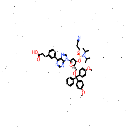 COc1ccc(C(OC[C@H]2O[C@@H](n3cnc4c(-c5cccc(CCC(=O)O)c5)ncnc43)C[C@@H]2OP(OCCC#N)N(C(C)C)C(C)C)(c2ccccc2)c2ccc(OC)cc2)cc1